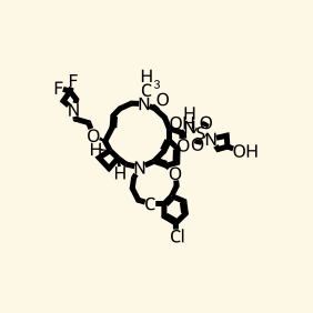 CN1CC/C=C/[C@H](OCCN2CC(F)(F)C2)[C@@H]2CC[C@H]2CN2CCCCc3cc(Cl)ccc3COc3ccc(cc32)[C@@](O)(C(=O)NS(=O)(=O)N2CC(O)C2)CC1=O